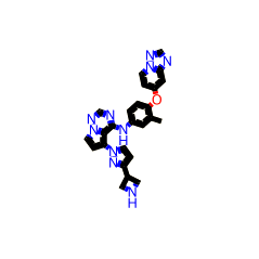 Cc1cc(Nc2ncnn3ccc(-n4ccc(C5CNC5)n4)c23)ccc1Oc1ccn2ncnc2c1